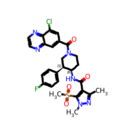 Cc1nn(C)c(S(C)(=O)=O)c1C(=O)N[C@@H]1CCN(C(=O)c2cc(Cl)c3nccnc3c2)C[C@@H]1c1ccc(F)cc1